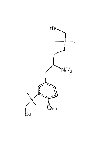 CC(C)(C)CC(C)(C)CCC(N)Cc1ccc(O)c(C(C)(C)CC(C)(C)C)c1